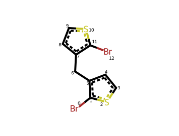 Brc1sccc1Cc1ccsc1Br